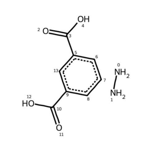 NN.O=C(O)c1cccc(C(=O)O)c1